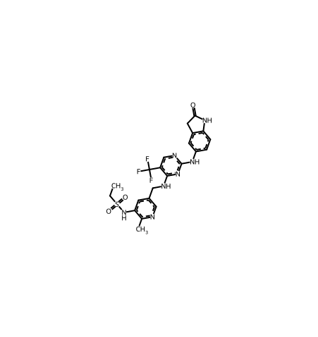 CCS(=O)(=O)Nc1cc(CNc2nc(Nc3ccc4c(c3)CC(=O)N4)ncc2C(F)(F)F)cnc1C